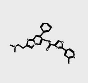 Cc1cc(-c2nc(C(=O)Nc3cn4cc(CCN(C)C)nc4cc3-c3ccccc3)co2)ccn1